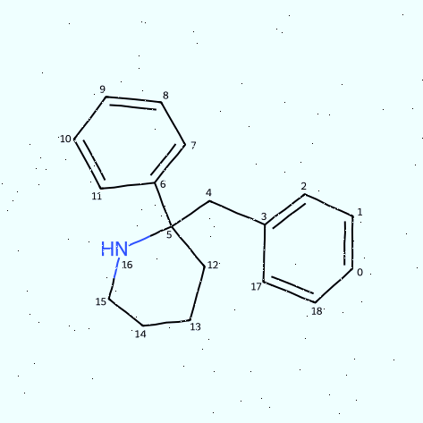 c1ccc(CC2(c3ccccc3)CCCCN2)cc1